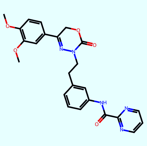 COc1ccc(C2=NN(CCc3cccc(NC(=O)c4ncccn4)c3)C(=O)OC2)cc1OC